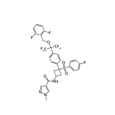 Cn1cc(C(=O)NC2CC(c3ccc(C(OCc4c(F)cccc4F)(C(F)(F)F)C(F)(F)F)cc3)(S(=O)(=O)c3ccc(F)cc3)C2)cn1